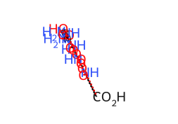 NCN[C@@H](CCCCNC(=O)COCCOCCNC(=O)COCCOCCNC(=O)CCCCCCCCCCCCCCC(=O)O)C(=O)CN[C@@H](CO)C(N)=O